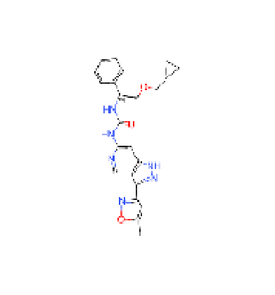 Cc1cc(-c2n[nH]c3cc(NC(=O)N[C@H](COCC4CC4)c4ccccc4)ncc23)no1